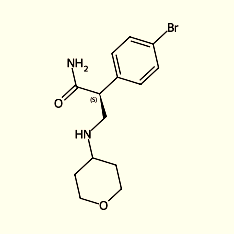 NC(=O)[C@H](CNC1CCOCC1)c1ccc(Br)cc1